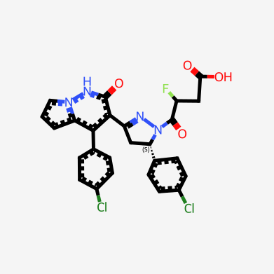 O=C(O)CC(F)C(=O)N1N=C(c2c(-c3ccc(Cl)cc3)c3cccn3[nH]c2=O)C[C@H]1c1ccc(Cl)cc1